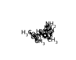 CCOP(=O)(CNC(=O)c1ccc(N(C)Cc2cnc3nc(N)nc(N)c3n2)cc1)OCC